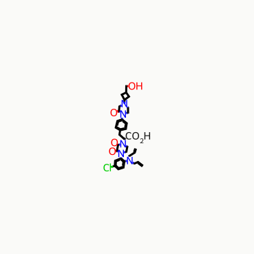 C=CCN(CC=C)c1ccc(Cl)cc1N1CCN(C(Cc2ccc(N3CCN(C4CC(CO)C4)CC3=O)cc2)C(=O)O)C(=O)C1=O